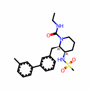 CCNC(=O)N1CCC[C@@H](NS(C)(=O)=O)[C@H]1Cc1cccc(-c2cccc(C)c2)c1